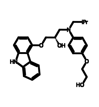 CC(C)CN(C[C@H](O)COc1cccc2[nH]c3ccccc3c12)c1ccc(OCCO)cc1